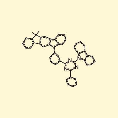 CC1(C)c2ccccc2-c2cc3c(cc21)c1ccccc1n3-c1cccc(-c2nc(-c3ccccc3)nc(-n3c4ccccc4c4ccccc43)n2)c1